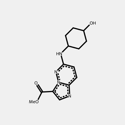 COC(=O)c1cnc2ccc(NC3CCC(O)CC3)nn12